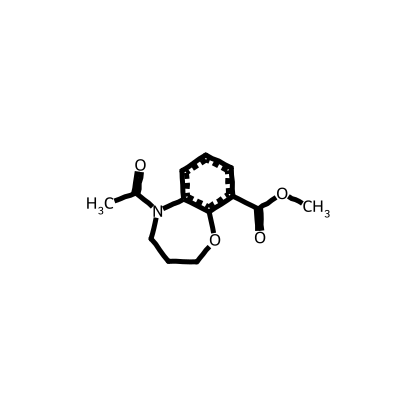 COC(=O)c1cccc2c1OCCCN2C(C)=O